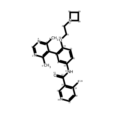 Cc1ncnc(C)c1-c1cc(NC(=O)c2cnccc2F)ccc1OCCN1CCC1